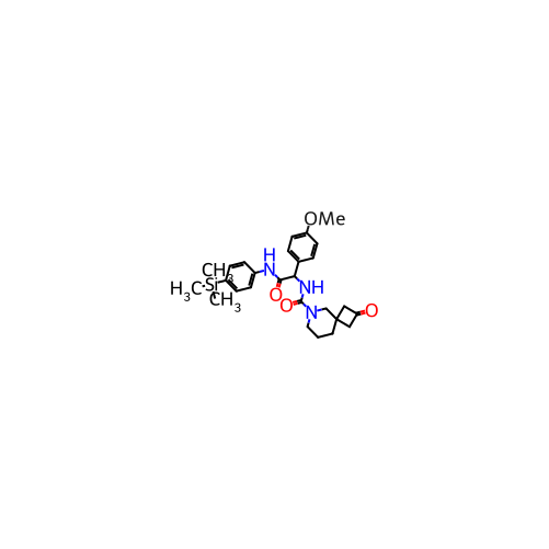 COc1ccc(C(NC(=O)N2CCCC3(CC(=O)C3)C2)C(=O)Nc2ccc([Si](C)(C)C)cc2)cc1